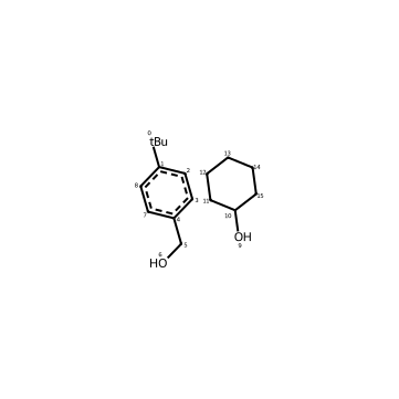 CC(C)(C)c1ccc(CO)cc1.OC1CCCCC1